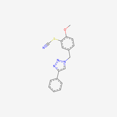 COc1ccc(Cn2cc(-c3ccccc3)nn2)cc1SC#N